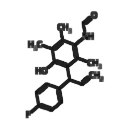 C=CC(c1ccc(F)cc1)c1c(C)c(NC=O)c(C)c(C)c1O